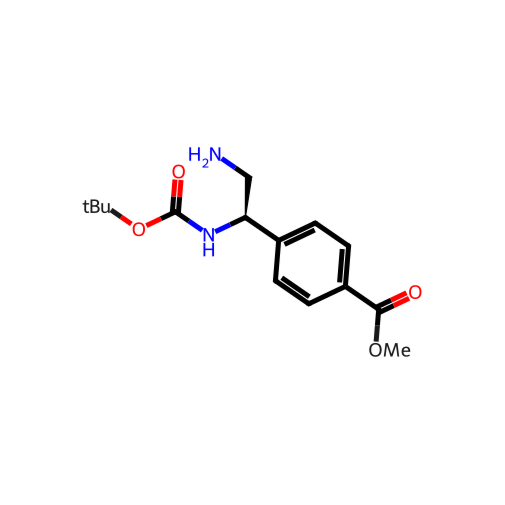 COC(=O)c1ccc([C@H](CN)NC(=O)OC(C)(C)C)cc1